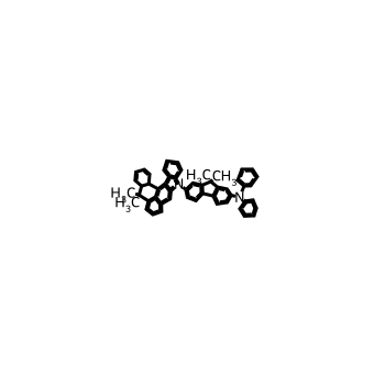 CC1(C)c2cc(N(c3ccccc3)c3ccccc3)ccc2-c2ccc(-n3c4ccccc4c4c5c6c(cccc6cc43)C(C)(C)C3C=CC=CC53)cc21